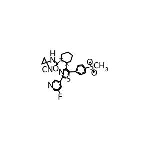 CS(=O)(=O)c1ccc(-c2sc(-c3cncc(F)c3)nc2[C@@H]2CCCC[C@H]2C(=O)NC2(C#N)CC2)cc1